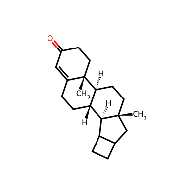 C[C@]12CC[C@H]3[C@@H](CCC4=CC(=O)CC[C@@]43C)[C@@H]1C1CCC1C2